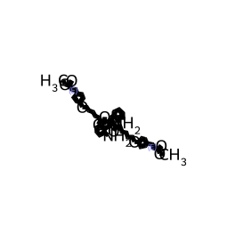 COC(=O)/C=C/c1ccc(OCCCCCC(=O)CC(Cc2ccccc2N)(Cc2ccccc2N)C(O)(O)C(=O)CCCCCOc2ccc(/C=C/C(=O)OC)cc2)cc1